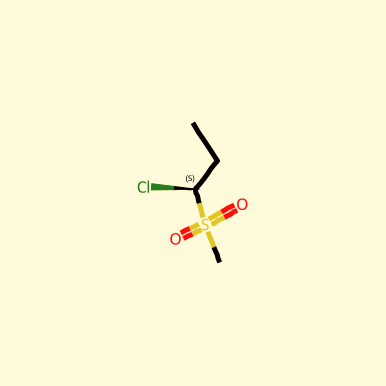 CC[C@H](Cl)S(C)(=O)=O